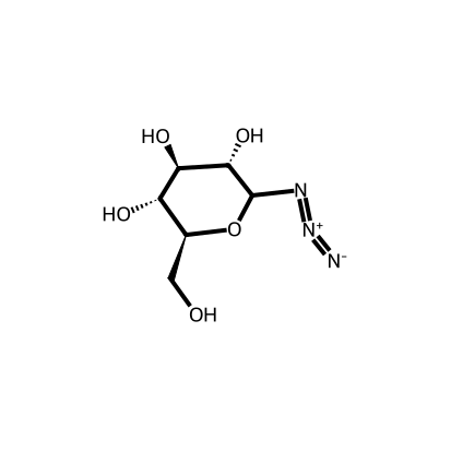 [N-]=[N+]=NC1O[C@@H](CO)[C@H](O)[C@@H](O)[C@@H]1O